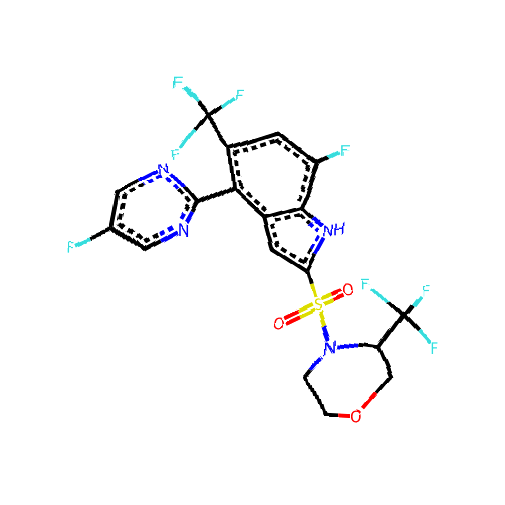 O=S(=O)(c1cc2c(-c3ncc(F)cn3)c(C(F)(F)F)cc(F)c2[nH]1)N1CCOCC1C(F)(F)F